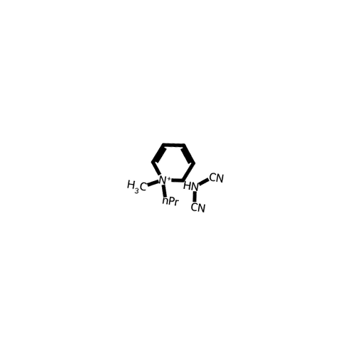 CCC[N+]1(C)C=CC=CC1.N#CNC#N